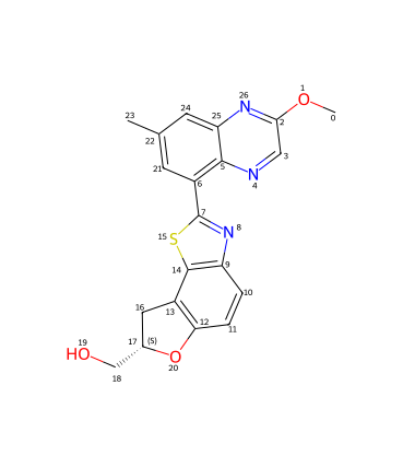 COc1cnc2c(-c3nc4ccc5c(c4s3)C[C@@H](CO)O5)cc(C)cc2n1